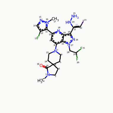 CN1CCC2(CCN(c3cc(-c4c(F)cnn4C)nc4c(/C(=C/I)NN)nn(CC(F)F)c34)CC2)C1=O